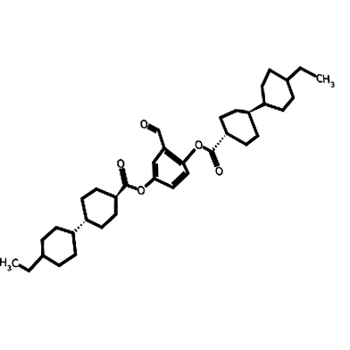 CCC1CCC([C@H]2CC[C@H](C(=O)Oc3ccc(OC(=O)[C@H]4CC[C@H](C5CCC(CC)CC5)CC4)c(C=O)c3)CC2)CC1